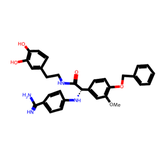 COc1cc([C@H](Nc2ccc(C(=N)N)cc2)C(=O)NCCc2ccc(O)c(O)c2)ccc1OCc1ccccc1